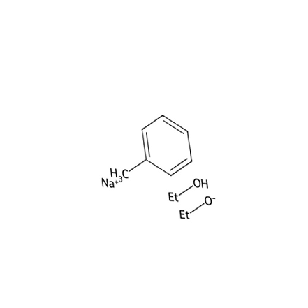 CCO.CC[O-].Cc1ccccc1.[Na+]